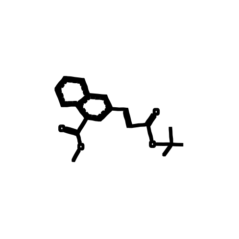 COC(=O)c1cc(C=CC(=O)OC(C)(C)C)cc2ccccc12